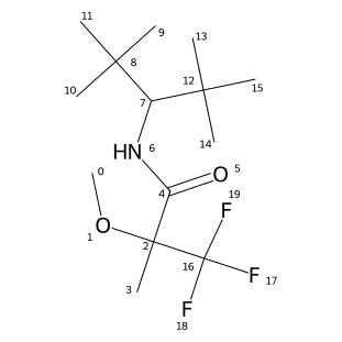 COC(C)(C(=O)NC(C(C)(C)C)C(C)(C)C)C(F)(F)F